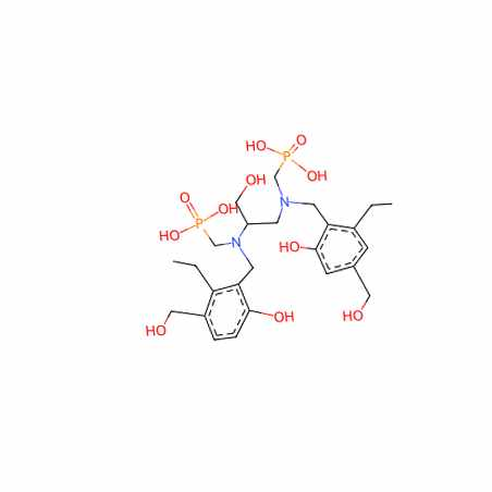 CCc1cc(CO)cc(O)c1CN(CC(CO)N(Cc1c(O)ccc(CO)c1CC)CP(=O)(O)O)CP(=O)(O)O